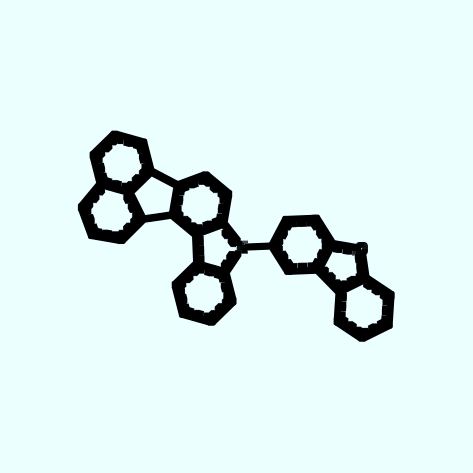 c1cc2c3c(cccc3c1)-c1c-2ccc2c1c1ccccc1n2-c1ccc2oc3ccccc3c2c1